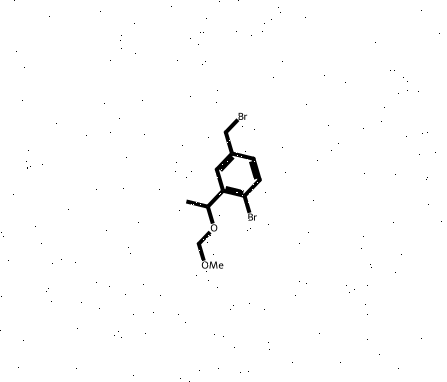 COCOC(C)c1cc(CBr)ccc1Br